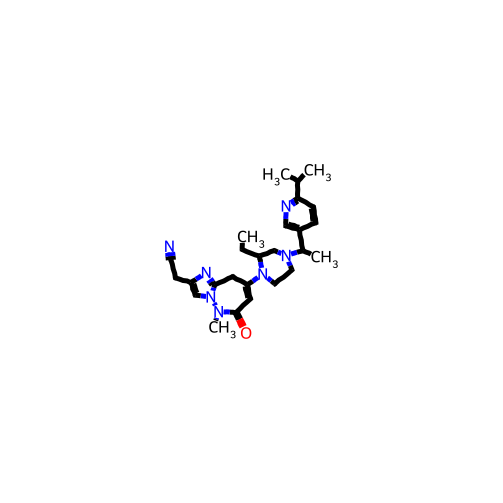 CCC1CN(C(C)c2ccc(C(C)C)nc2)CCN1C1=CC(=O)N(C)n2cc(CC#N)nc2C1